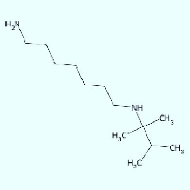 CC(C)C(C)(C)NCCCCCCCN